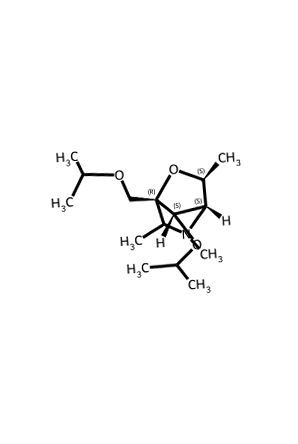 CC(C)OC[C@@]12O[C@@H](C)[C@@H]([C@@H]1OC(C)C)N(C)C2C